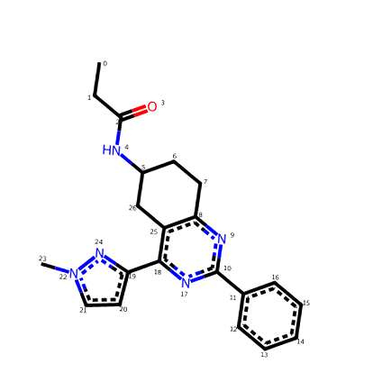 CCC(=O)NC1CCc2nc(-c3ccccc3)nc(-c3ccn(C)n3)c2C1